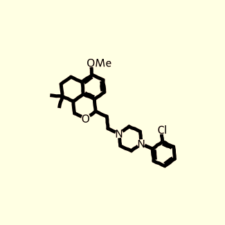 COc1ccc2c3c1CCC(C)(C)C3COC2CCN1CCN(c2ccccc2Cl)CC1